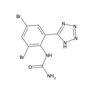 NC(=O)Nc1c(Br)cc(Br)cc1-c1nnn[nH]1